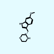 COc1ccc2c(C[C@H]3COCCN3)c[nH]c2c1